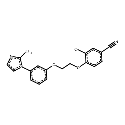 Cc1nccn1-c1cccc(OCCOc2ccc(C#N)cc2Cl)c1